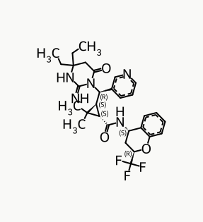 CCC1(CC)CC(=O)N([C@@H](c2cccnc2)[C@H]2[C@H](C(=O)N[C@H]3C[C@H](C(F)(F)F)Oc4ccccc43)C2(C)C)C(=N)N1